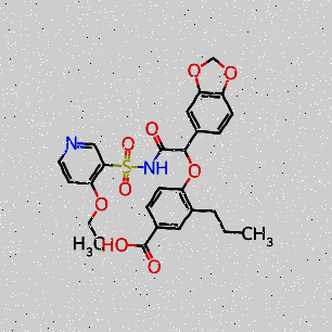 CCCc1cc(C(=O)O)ccc1OC(C(=O)NS(=O)(=O)c1cnccc1OCC)c1ccc2c(c1)OCO2